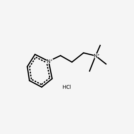 C[N+](C)(C)CCC[n+]1ccccc1.Cl